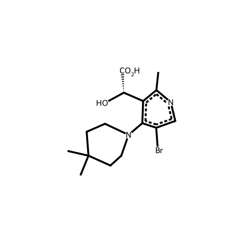 Cc1ncc(Br)c(N2CCC(C)(C)CC2)c1[C@H](O)C(=O)O